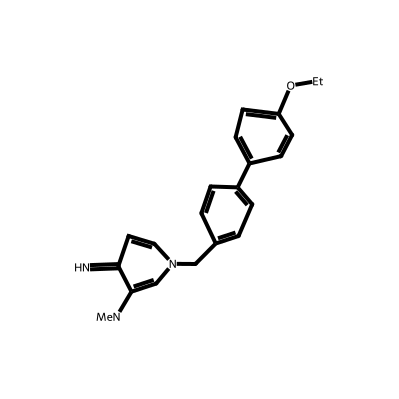 CCOc1ccc(-c2ccc(Cn3ccc(=N)c(NC)c3)cc2)cc1